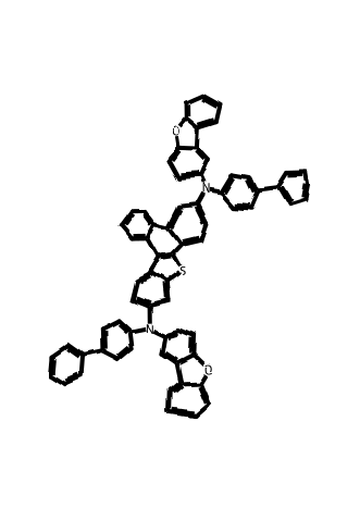 c1ccc(-c2ccc(N(c3ccc4c(c3)sc3c5ccc(N(c6ccc(-c7ccccc7)cc6)c6ccc7oc8ccccc8c7c6)cc5c5ccccc5c43)c3ccc4oc5ccccc5c4c3)cc2)cc1